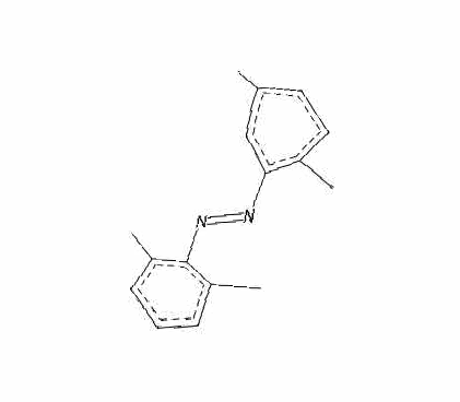 Cc1ccc(C)c(/N=N/c2c(C)cccc2C)c1